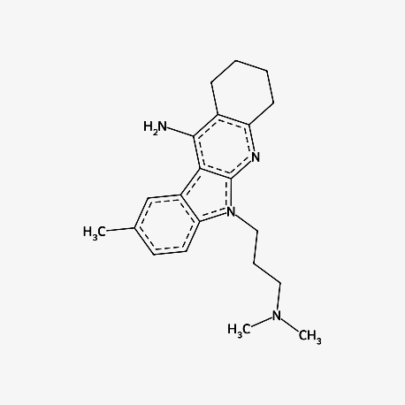 Cc1ccc2c(c1)c1c(N)c3c(nc1n2CCCN(C)C)CCCC3